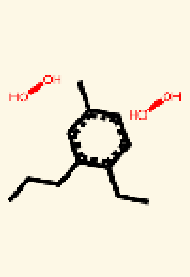 CCCc1cc(C)ccc1CC.OO.OO